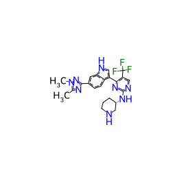 Cc1nc(-c2ccc3c(-c4nc(N[C@H]5CCCNC5)ncc4C(F)(F)F)c[nH]c3c2)nn1C